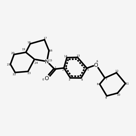 O=C(c1ccc(OC2CCCCC2)cc1)N1CCCC2CCCCC21